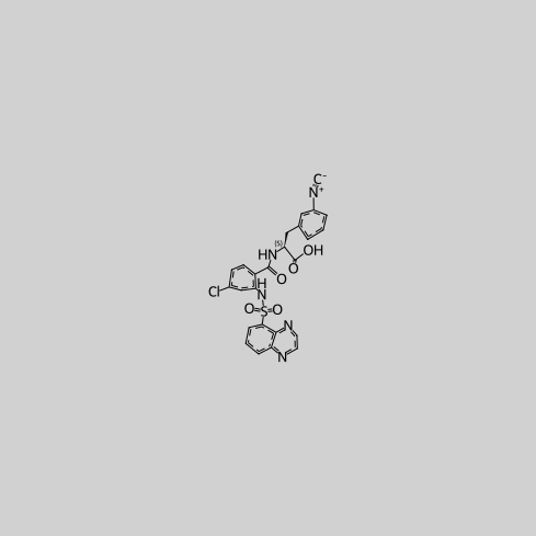 [C-]#[N+]c1cccc(C[C@H](NC(=O)c2ccc(Cl)cc2NS(=O)(=O)c2cccc3nccnc23)C(=O)O)c1